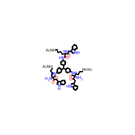 CC(=O)NCCCC[C@@](N)(C(=O)Cc1c[nH]c2ccccc12)C(=O)Nc1ccc(C(c2ccc(NC(=O)[C@@](N)(CCCCNC(C)=O)C(=O)Cc3c[nH]c4ccccc34)cc2)c2ccc(NC(=O)[C@@](N)(CCCCNC(C)=O)C(=O)Cc3c[nH]c4ccccc34)cc2)cc1